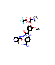 CCOc1cc(C(Nc2ccc(C(=N)N)cc2)C(=O)NNC(=O)c2ccncc2C)ccc1OC(OC(=O)C(F)(F)F)C(=O)N(C)C